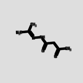 CC(=O)CC(=O)NN=C(C)C